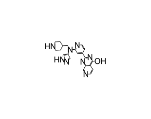 Oc1nc(-c2ccnc(N(CC3CCNCC3)c3cn[nH]c3)c2)nc2cnccc12